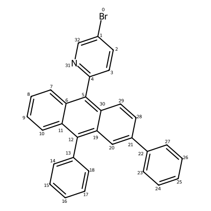 Brc1ccc(-c2c3ccccc3c(-c3ccccc3)c3cc(-c4ccccc4)ccc23)nc1